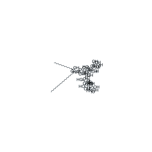 CCCCCCCCCCCCC/C=C/[C@@H](O)[C@H](CO[C@@H]1OC(CO)[C@@H](O[C@@H]2OC(CO[C@@H]3OC(CO)[C@@H](O[C@@H]4OC(CO)[C@H](O[C@@H]5OC(CO)[C@H](O)[C@H](O)C5NC(C)=O)[C@H](O)C4O)[C@H](O)C3NC(C)=O)[C@H](O)[C@H](O[C@H]3OC(CO)[C@H](O)[C@H](O[C@@H]4OC(CO)[C@H](O)[C@H](O)C4NC(C)=O)C3O)C2O)[C@H](O)C1O)NC(=O)CCCCCCCCCCCCCCCCCCCCC